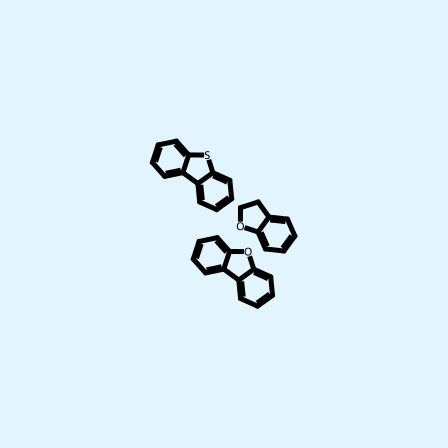 c1ccc2c(c1)CCO2.c1ccc2c(c1)oc1ccccc12.c1ccc2c(c1)sc1ccccc12